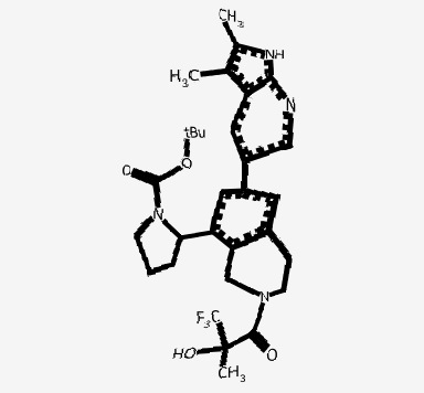 Cc1[nH]c2ncc(-c3cc4c(c(C5CCCN5C(=O)OC(C)(C)C)c3)CN(C(=O)C(C)(O)C(F)(F)F)CC4)cc2c1C